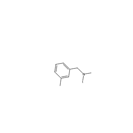 Cc1cccc(CN(C)I)c1